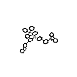 c1ccc(C2(c3ccccc3)c3ccccc3-c3c(N(c4ccc(-c5cccc(-n6c7ccccc7c7ccccc76)c5)cc4)c4ccc(-c5ccc6c(c5)sc5ccccc56)cc4)cccc32)cc1